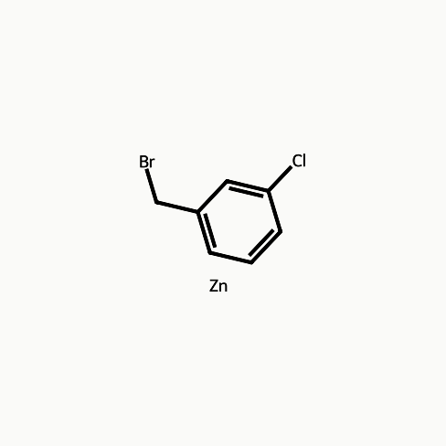 Clc1cccc(CBr)c1.[Zn]